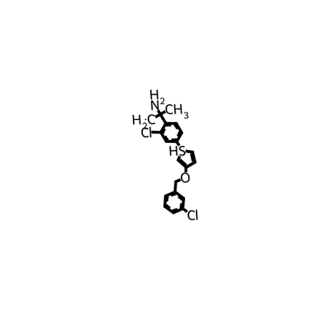 [CH2]C(C)(N)c1ccc([SH]2C=CC(OCc3cccc(Cl)c3)=C2)cc1Cl